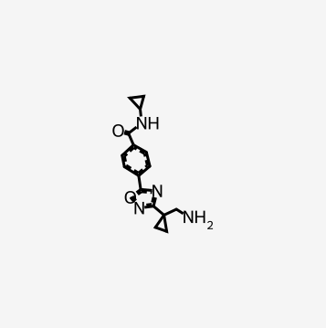 NCC1(c2noc(-c3ccc(C(=O)NC4CC4)cc3)n2)CC1